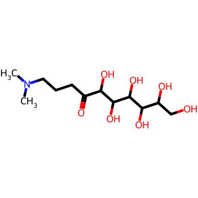 CN(C)CCCC(=O)C(O)C(O)C(O)C(O)C(O)CO